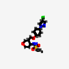 CS(=O)(=O)NC1CCOCC1COc1ccc(-n2cc(Cl)cn2)cc1